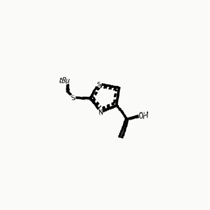 C=C(O)c1csc(SC(C)(C)C)n1